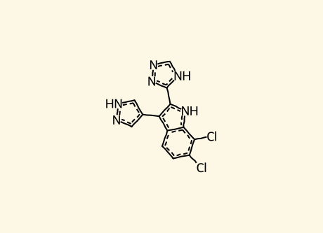 Clc1ccc2c(-c3cn[nH]c3)c(-c3nnc[nH]3)[nH]c2c1Cl